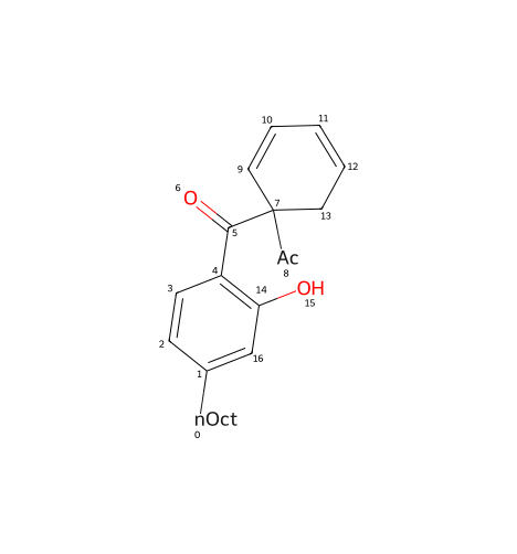 CCCCCCCCc1ccc(C(=O)C2(C(C)=O)C=CC=CC2)c(O)c1